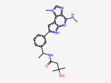 CNc1nc2[nH]c(-c3cccc(C(C)NC(=O)CC(C)(C)O)c3)cc2c2c1ncn2C